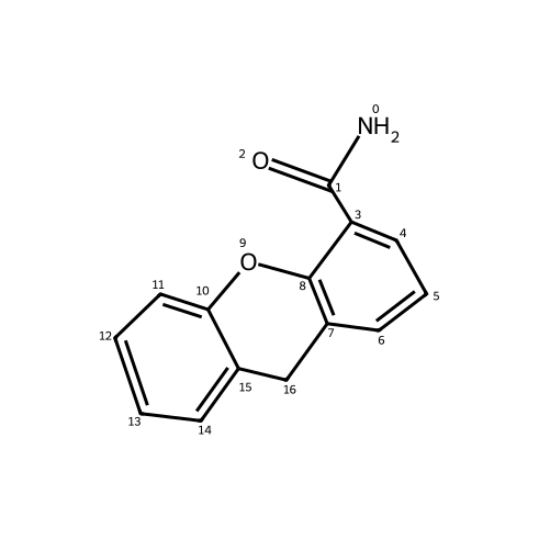 NC(=O)c1cccc2c1Oc1ccccc1C2